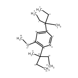 CCC(C)(CC)c1cnc(C(C)(CC)CC)c(OC)c1